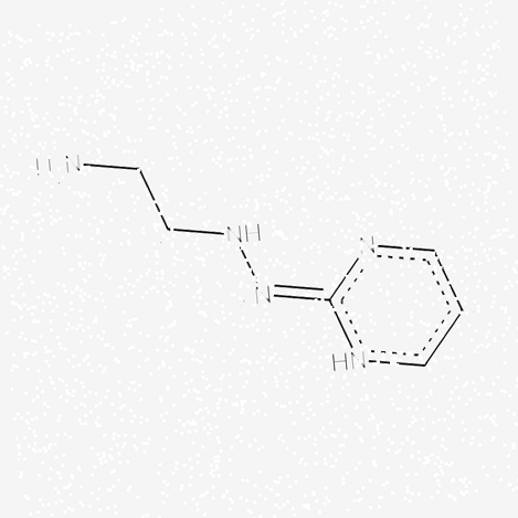 NCCNN=c1nccc[nH]1